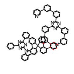 c1ccc(-c2nc(-c3ccccc3)nc(-n3c4ccccc4c4ccc5c(c43)-c3ccccc3C53c4ccccc4-c4c(-c5ccc(-c6cccc(-c7cccc(-c8nc(-c9cccc(-c%10cccc(-c%11cccnc%11)c%10)c9)nc(-c9cccc(-c%10cccc(-c%11cccnc%11)c%10)c9)n8)c7)c6)cc5)cccc43)n2)cc1